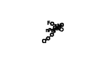 CCCN(Cc1ccc(-c2ccc(Cl)cc2)cc1)C(=O)Cn1c(SCc2ccc(F)cc2)nc(=O)c2c1CCCC2